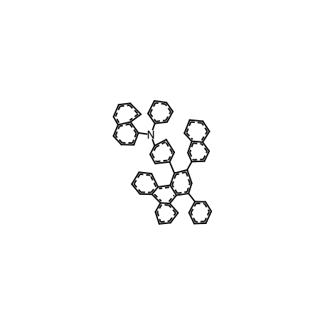 c1ccc(-c2cc(-c3ccc4ccccc4c3)c(-c3ccc(N(c4ccccc4)c4cccc5ccccc45)cc3)c3c4ccccc4c4ccccc4c23)cc1